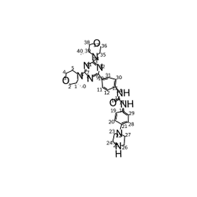 C[C@@H]1COCCN1c1nc(-c2ccc(NC(=O)Nc3ccc(N4CCNCC4)cc3)cc2)nc(N2CCOC[C@H]2C)n1